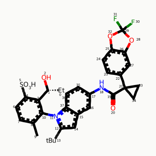 CC[C@@H](O)c1c(S(=O)(=O)O)ccc(C)c1-n1c(C(C)(C)C)cc2cc(NC(=O)C3(c4ccc5c(c4)OC(F)(F)O5)CC3)ccc21